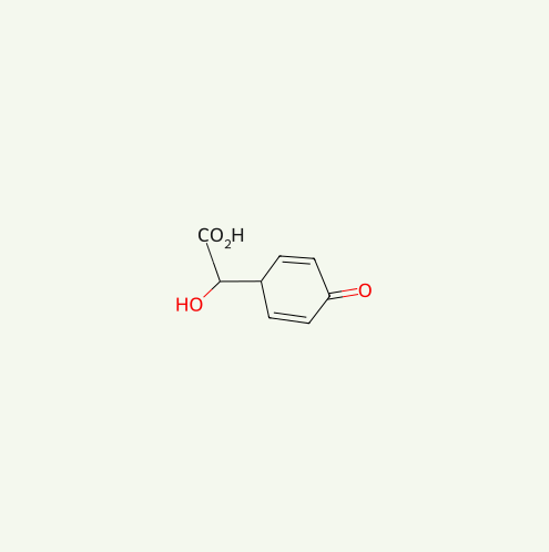 O=C1C=CC(C(O)C(=O)O)C=C1